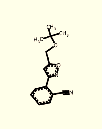 CC(C)(C)OCc1cc(-c2ccccc2C#N)no1